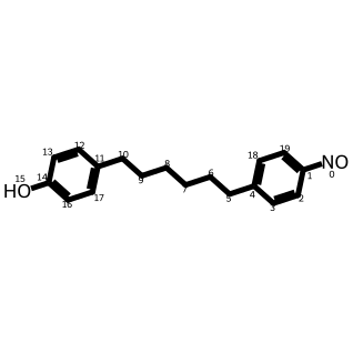 O=Nc1ccc(CCCCCCc2ccc(O)cc2)cc1